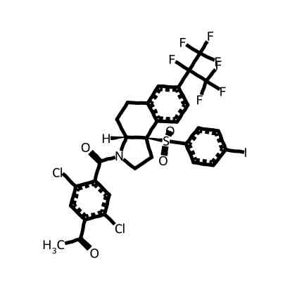 CC(=O)c1cc(Cl)c(C(=O)N2CC[C@@]3(S(=O)(=O)c4ccc(I)cc4)c4ccc(C(F)(C(F)(F)F)C(F)(F)F)cc4CC[C@@H]23)cc1Cl